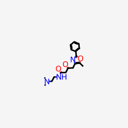 Cc1oc(-c2ccccc2)nc1CC(=O)CC(=O)NCCN(C)C